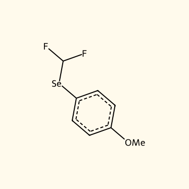 COc1ccc([Se]C(F)F)cc1